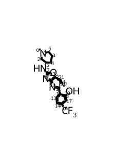 CN1CCC[C@@H](Nc2nc3nc(-c4ccc(C(F)(F)F)cc4O)ncc3o2)C1